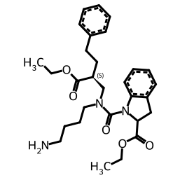 CCOC(=O)C1Cc2ccccc2N1C(=O)N(CCCCN)C[C@H](CCc1ccccc1)C(=O)OCC